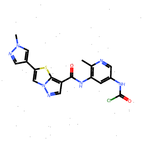 Cc1ncc(NC(=O)Cl)cc1NC(=O)c1cnn2cc(-c3cnn(C)c3)sc12